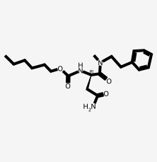 CCCCCCOC(=O)N[C@H](CC(N)=O)C(=O)N(C)CCc1ccccc1